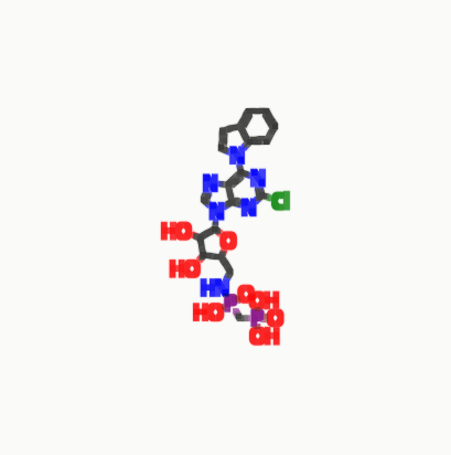 O=P(O)(O)CP(=O)(O)NCC1OC(n2cnc3c(-n4ccc5ccccc54)nc(Cl)nc32)C(O)C1O